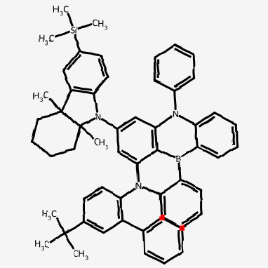 CC(C)(C)c1ccc(N2c3ccccc3B3c4ccccc4N(c4ccccc4)c4cc(N5c6ccc([Si](C)(C)C)cc6C6(C)CCCCC56C)cc2c43)c(-c2ccccc2)c1